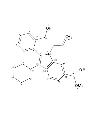 C=CCn1c(-c2ccccc2CO)c(C2CCCCC2)c2ccc(C(=O)OC)cc21